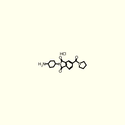 Cl.NC1CCC(N2C(=O)c3ccc(C(=O)N4CCCC4)cc3C2=O)CC1